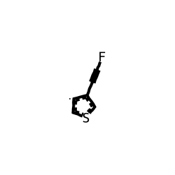 FC#Cc1[c]csc1